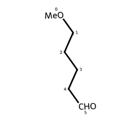 CO[CH]CCCC=O